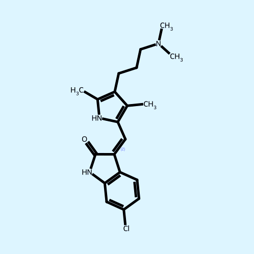 Cc1[nH]c(/C=C2\C(=O)Nc3cc(Cl)ccc32)c(C)c1CCCN(C)C